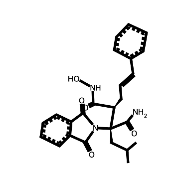 CC(C)C[C@](C(N)=O)([C@H](C/C=C/c1ccccc1)C(=O)NO)N1C(=O)c2ccccc2C1=O